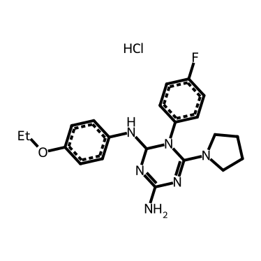 CCOc1ccc(NC2N=C(N)N=C(N3CCCC3)N2c2ccc(F)cc2)cc1.Cl